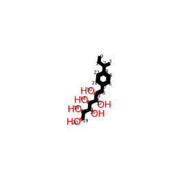 CCC(C)c1ccc(C=C(O)[C@H](O)[C@@H](O)[C@H](O)[C@H](O)CO)cc1